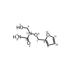 NC(=O)N(CO)OCc1ccco1